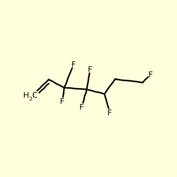 C=CC(F)(F)C(F)(F)C(F)CCF